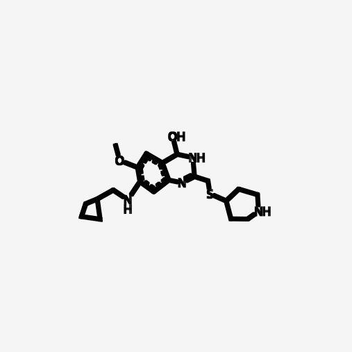 COc1cc2c(cc1NCC1CCC1)N=C(CSC1CCNCC1)NC2O